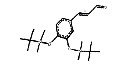 CC(C)(C)[Si](C)(C)Oc1ccc(/C=C/C=O)cc1O[Si](C)(C)C(C)(C)C